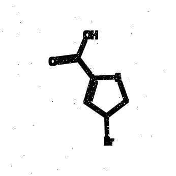 O=C(O)C1=CC(Br)CS1